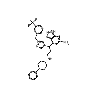 Nc1cc(C(CCN[C@H]2CC[C@H](c3ccccc3)CC2)c2cnn(Cc3cccc(C(F)(F)F)c3)c2)c2nn[nH]c2n1